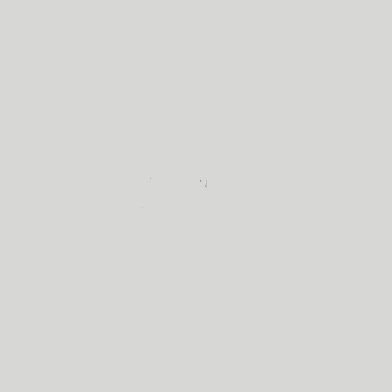 CCC(=O)Nc1c(C)cccc1Cl